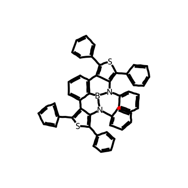 c1ccc(-c2sc(-c3ccccc3)c3c2-c2cccc4c2B(N3c2ccccc2)N(c2ccccc2)c2c(-c3ccccc3)sc(-c3ccccc3)c2-4)cc1